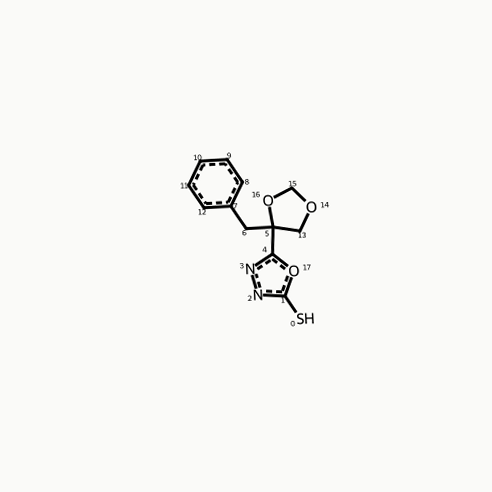 Sc1nnc(C2(Cc3ccccc3)COCO2)o1